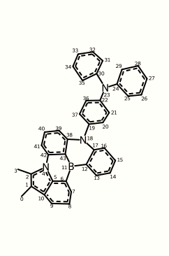 Cc1c(C)n2c3c(cccc13)B1c3ccccc3N(c3ccc(N(c4ccccc4)c4ccccc4)cc3)c3cccc-2c31